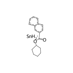 O=C(OC1CCCCC1)c1ccc2ccccc2c1.[SnH2]